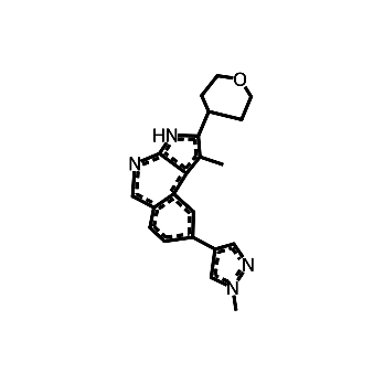 Cc1c(C2CCOCC2)[nH]c2ncc3ccc(-c4cnn(C)c4)cc3c12